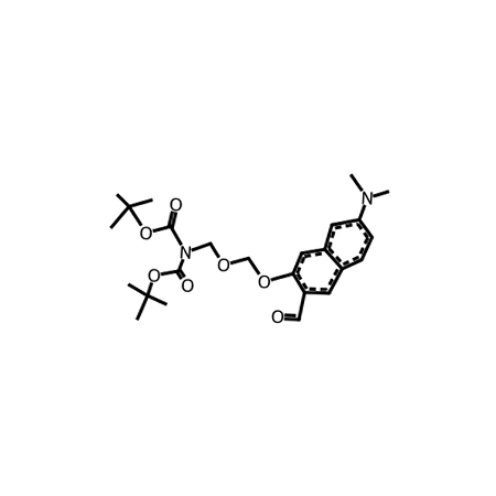 CN(C)c1ccc2cc(C=O)c(OCOCN(C(=O)OC(C)(C)C)C(=O)OC(C)(C)C)cc2c1